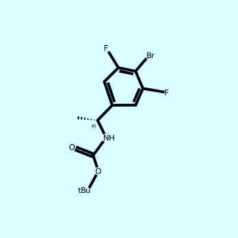 C[C@@H](NC(=O)OC(C)(C)C)c1cc(F)c(Br)c(F)c1